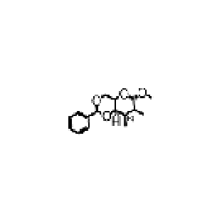 CO[C@@H]1OC2COC(c3ccccc3)O[C@H]2[C@H](C)C1C